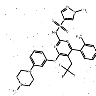 Cc1ccccc1-c1nc(NS(=O)(=O)c2cnn(C)c2)nc(Oc2cccc(N3CCN(C)CC3)c2)c1CC(F)(F)F